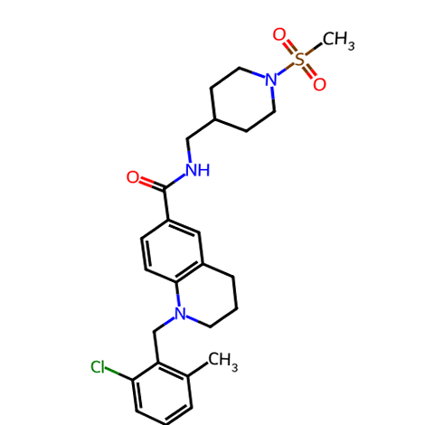 Cc1cccc(Cl)c1CN1CCCc2cc(C(=O)NCC3CCN(S(C)(=O)=O)CC3)ccc21